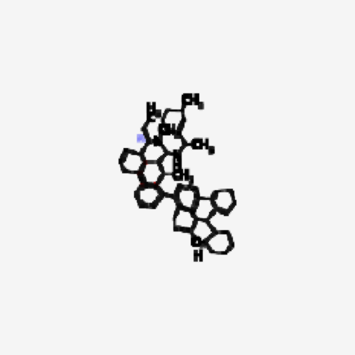 C/C=C(/C1C=CCC(c2cccc(-c3ccc(C4=CCCC=C4C4C5CCCC=C5O[C@@H]5CCCCC45)cc3)c2)C1)N(C)C(NC(C)C1=CC(C)CCC1)C1CC=CCC1C